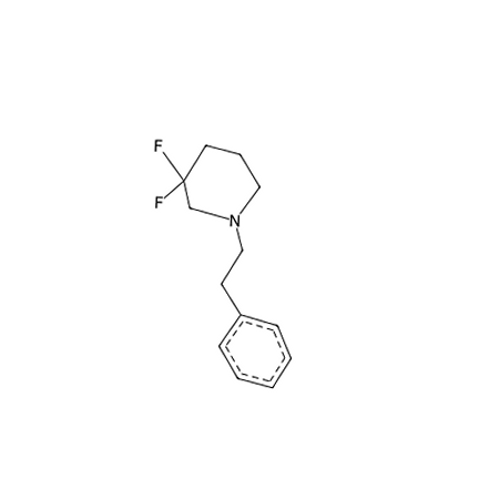 FC1(F)CCCN(CCc2ccccc2)C1